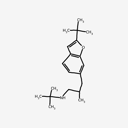 CC(CNC(C)(C)C)Cc1ccc2cc(C(C)(C)C)oc2c1